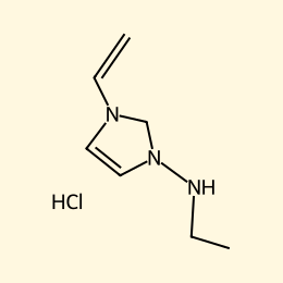 C=CN1C=CN(NCC)C1.Cl